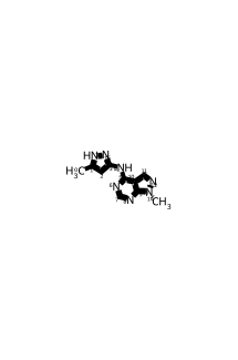 Cc1cc(Nc2ncnc3c2cnn3C)n[nH]1